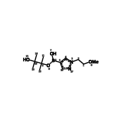 COCCn1cc(B(O)OC(C)(C)C(C)(C)O)cn1